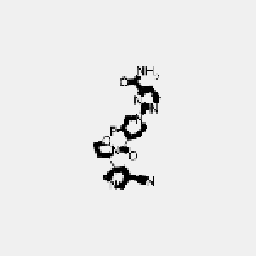 N#Cc1cncc([C@@H]2CCON2C(=O)[C@H]2CCN(c3nccc(C(N)=O)n3)C[C@@H]2F)c1